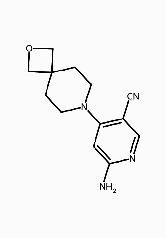 N#Cc1cnc(N)cc1N1CCC2(CC1)COC2